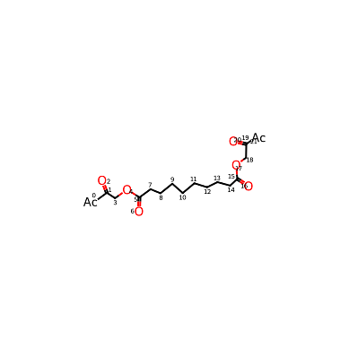 CC(=O)C(=O)COC(=O)CCCCCCCCC(=O)OCC(=O)C(C)=O